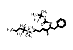 CCCC(C)(C)[Si](C)(C)OCC/C=C(\F)C(Cc1ccccc1)NC(=O)OC(C)(C)C